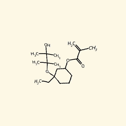 C=C(C)C(=O)OC1CCCC(CC)(OC(C)(C)C(C)(C)O)C1